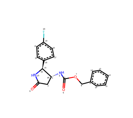 O=C1C[C@@H](NC(=O)OCc2ccccc2)[C@H](c2ccc(F)cc2)N1